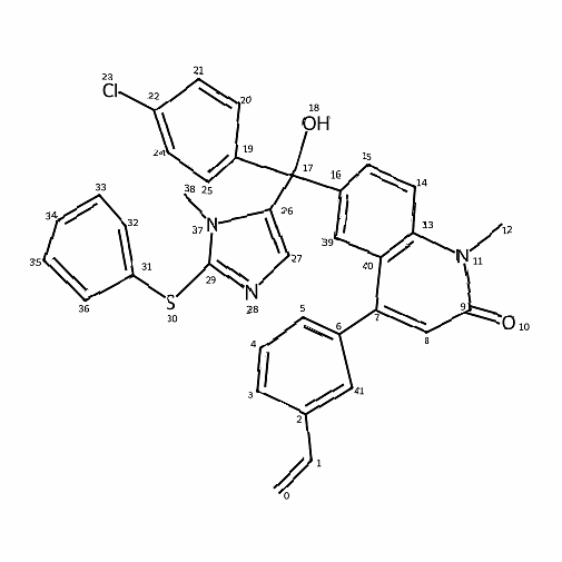 C=Cc1cccc(-c2cc(=O)n(C)c3ccc(C(O)(c4ccc(Cl)cc4)c4cnc(Sc5ccccc5)n4C)cc23)c1